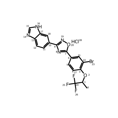 CC(Oc1ccc(-c2nc(-c3ccc4nc[nH]c4c3)no2)cc1Br)C(F)(F)F.Cl